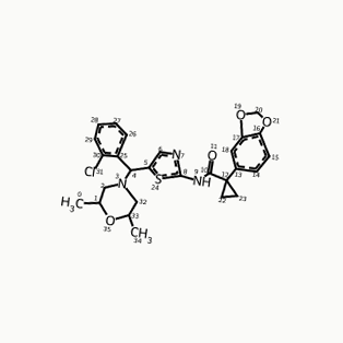 CC1CN(C(c2cnc(NC(=O)C3(c4ccc5c(c4)OCO5)CC3)s2)c2ccccc2Cl)CC(C)O1